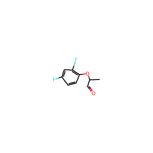 CC([C]=O)Oc1ccc(F)cc1F